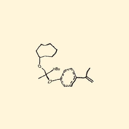 C=C(C)c1ccc(OC(C)(CCCC)OC2CCCCC2)cc1